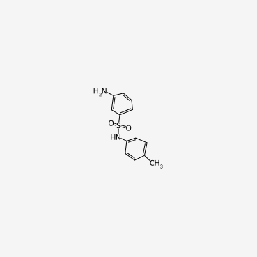 Cc1ccc(NS(=O)(=O)c2cccc(N)c2)cc1